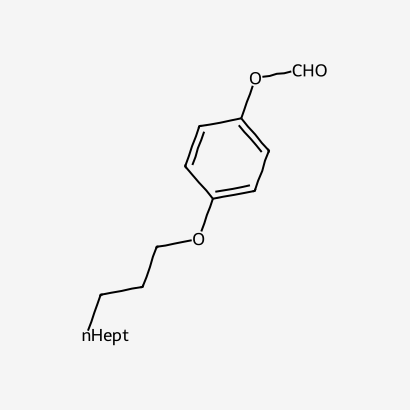 CCCCCCCCCCOc1ccc(OC=O)cc1